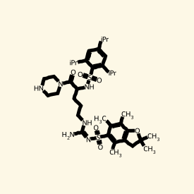 Cc1c(C)c(S(=O)(=O)N=C(N)NCCCC(NS(=O)(=O)c2c(C(C)C)cc(C(C)C)cc2C(C)C)C(=O)N2CCNCC2)c(C)c2c1OC(C)(C)C2